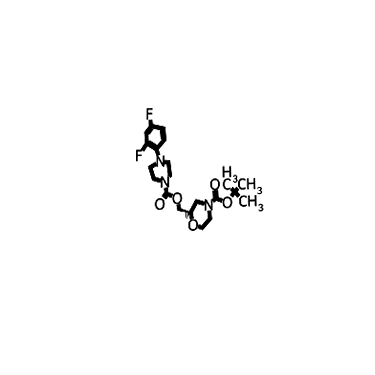 CC(C)(C)OC(=O)N1CCO[C@@H](COC(=O)N2CCN(c3ccc(F)cc3F)CC2)C1